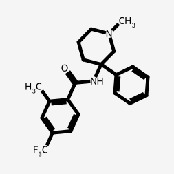 Cc1cc(C(F)(F)F)ccc1C(=O)NC1(c2ccccc2)CCCN(C)C1